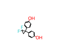 Oc1ccc(C2(c3ccc(O)cc3)CC2(F)F)cc1